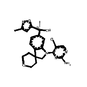 Cc1cc([C@@](C)(O)c2ccc3c(c2)N(c2nc(N)ncc2Cl)CC32CCOCC2)on1